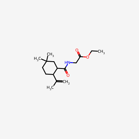 C=C(C)C1CCC(C)(C)CC1C(=O)NCC(=O)OCC